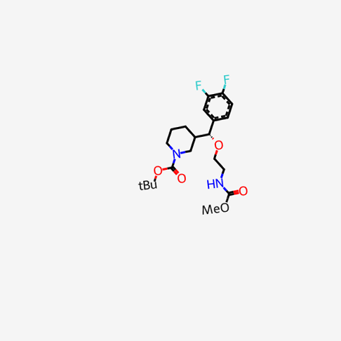 COC(=O)NCCO[C@@H](c1ccc(F)c(F)c1)C1CCCN(C(=O)OC(C)(C)C)C1